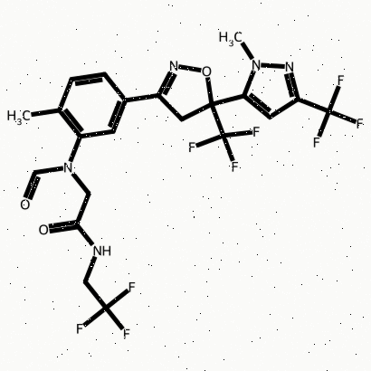 Cc1ccc(C2=NOC(c3cc(C(F)(F)F)nn3C)(C(F)(F)F)C2)cc1N(C=O)CC(=O)NCC(F)(F)F